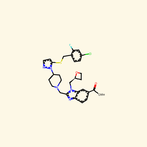 COC(=O)c1ccc2nc(CN3CCC(n4nccc4SCc4ccc(Cl)cc4F)CC3)n(C[C@@H]3CCO3)c2c1